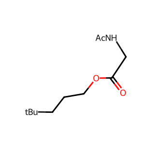 CC(=O)NCC(=O)OCCCC(C)(C)C